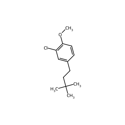 COc1ccc(CCC(C)(C)C)cc1Cl